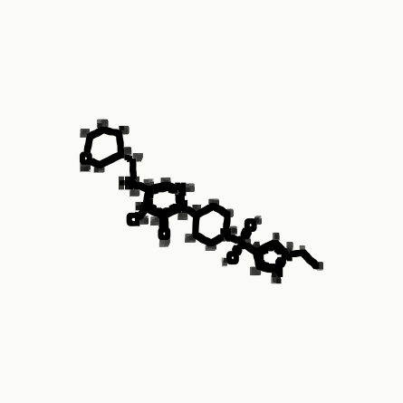 CCn1cc(S(=O)(=O)N2CCC(n3ncc(NC[C@H]4CCCOC4)c(Cl)c3=O)CC2)cn1